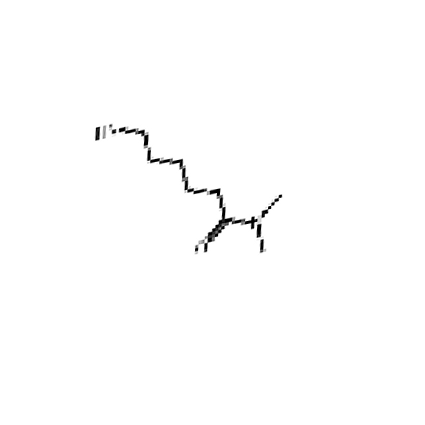 CN(C)C(=O)CCCCC[NH]